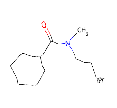 CC(C)CCN(C)C(=O)C1CCCCC1